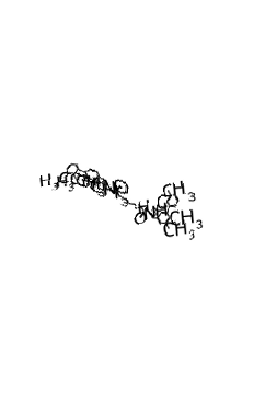 Cc1cccc(-c2cc(CNC(=O)CCCCCCC(=O)NCc3ccc(-c4cccc(C)c4C)c(C)c3C)cc(C)c2C)c1C